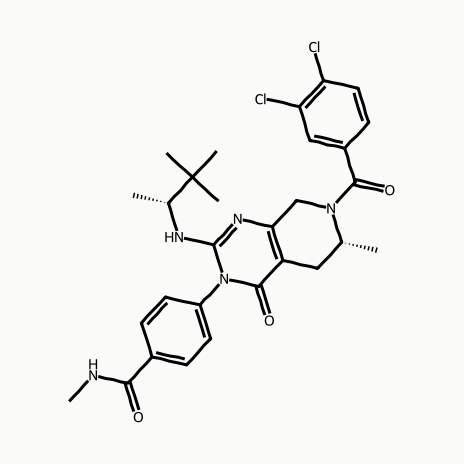 CNC(=O)c1ccc(-n2c(N[C@H](C)C(C)(C)C)nc3c(c2=O)C[C@@H](C)N(C(=O)c2ccc(Cl)c(Cl)c2)C3)cc1